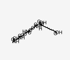 CCN[C@@H](CCCCNC(=O)COCCOCCNC(=O)COCCOCCNC(=O)CC[C@H](NC(=O)CCCCCCCCCCCCCCC(=O)O)C(=O)O)C(=O)O